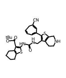 CC(C)(C)OC(=O)c1c(NC(=O)NCc2c(C3=CC=CCC(C#N)=C3)sc3c2CCNC3)sc2c1CCCC2